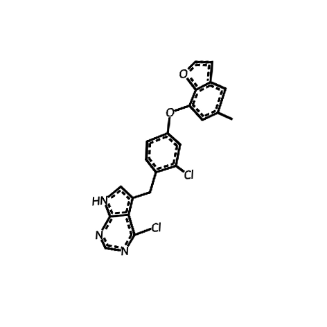 Cc1cc(Oc2ccc(Cc3c[nH]c4ncnc(Cl)c34)c(Cl)c2)c2occc2c1